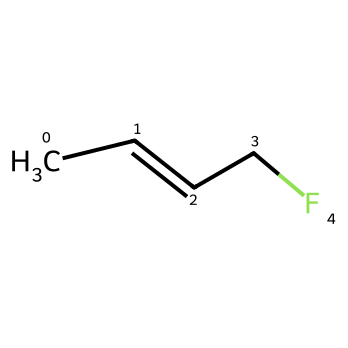 CC=CCF